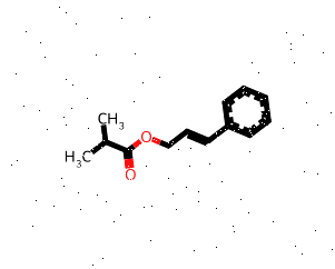 CC(C)C(=O)OCC=Cc1ccccc1